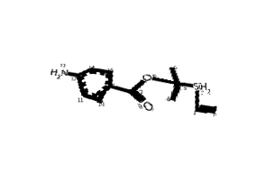 C=C[SiH2]C(C)(C)OC(=O)c1ccc(N)cc1